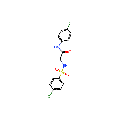 O=C(CNS(=O)(=O)c1ccc(Cl)cc1)Nc1ccc(Cl)cc1